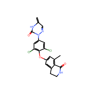 C=C1C=NN(c2cc(Cl)c(Oc3cc(C)c4c(c3)CCNC4=O)c(Cl)c2)C(=O)N1